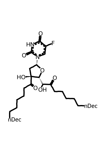 CCCCCCCCCCCCCCCC(=O)C(O)[C@H]1O[C@@H](n2cc(F)c(=O)[nH]c2=O)C[C@@]1(O)C(=O)CCCCCCCCCCCCCCC